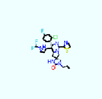 C=CCN1C[C@@]2(CC3=C(c4ccn(C(F)F)n4)[C@H](c4ccc(F)cc4Cl)N=C(c4nccs4)N3C2)NC1=O